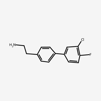 NCCc1ccc(-c2ccc(F)c(Cl)c2)cc1